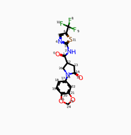 O=C(Nc1ncc(C(F)(F)F)s1)C1CC(=O)N(c2ccc3c(c2)OCO3)C1